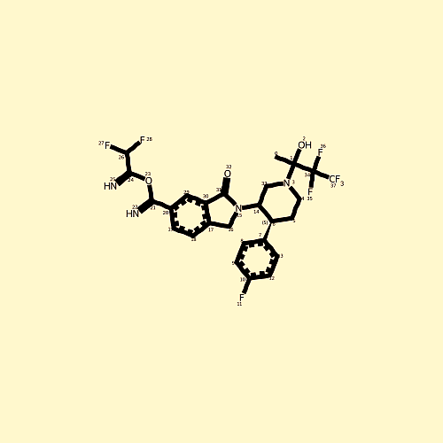 CC(O)(N1CC[C@@H](c2ccc(F)cc2)C(N2Cc3ccc(C(=N)OC(=N)C(F)F)cc3C2=O)C1)C(F)(F)C(F)(F)F